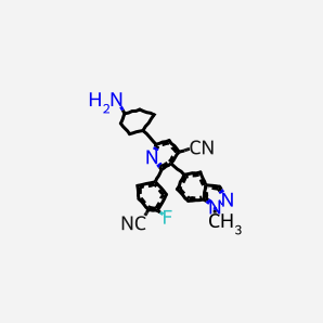 Cn1ncc2cc(-c3c(C#N)cc(C4CCC(N)CC4)nc3-c3ccc(C#N)c(F)c3)ccc21